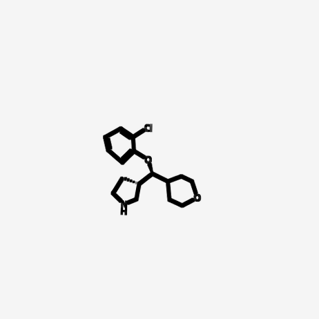 Clc1ccccc1O[C@@H](C1CCOCC1)[C@H]1CCNC1